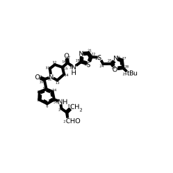 C=C(C=O)CNc1cccc(C(=O)N2CCC(C(=O)Nc3ncc(SCc4ncc(C(C)(C)C)o4)s3)CC2)c1